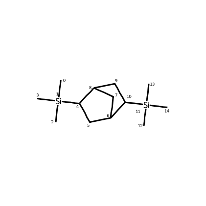 C[Si](C)(C)C1CC2CC1CC2[Si](C)(C)C